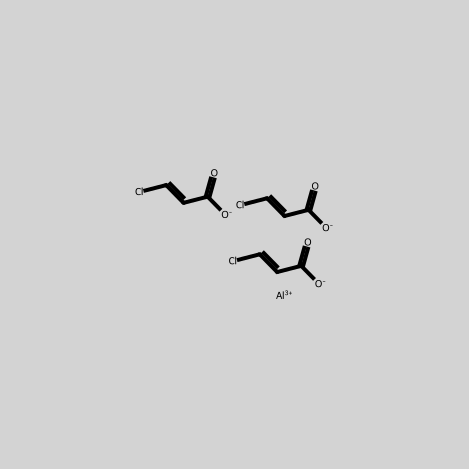 O=C([O-])/C=C/Cl.O=C([O-])/C=C/Cl.O=C([O-])/C=C/Cl.[Al+3]